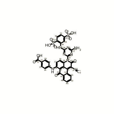 [C-]#[N+]c1c2c3c(c(Nc4ccc(C(=O)O)cc4)ccc3n(-c3nc(N)nc(Nc4cc(S(=O)(=O)O)ccc4S(=O)(=O)O)n3)c1=O)C(=O)c1ccccc1-2